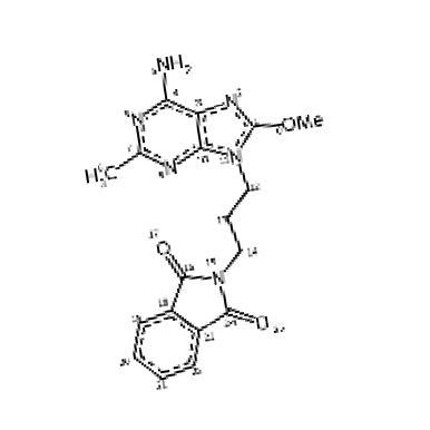 COc1nc2c(N)nc(C)nc2n1CCCN1C(=O)c2ccccc2C1=O